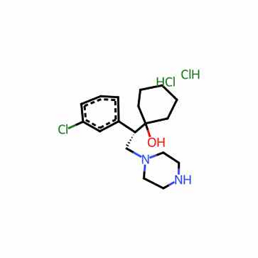 Cl.Cl.OC1([C@H](CN2CCNCC2)c2cccc(Cl)c2)CCCCC1